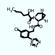 CCCCC(O)C(=O)N1C[C@H]2C[C@H]2[C@H]1C(=O)NCc1cc(Cl)ccc1-n1cnnn1